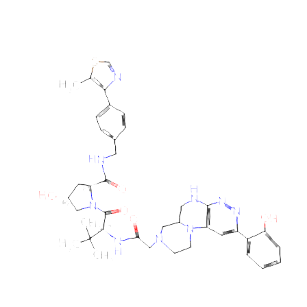 Cc1scnc1-c1ccc(CNC(=O)[C@@H]2C[C@@H](O)CN2C(=O)[C@@H](NC(=O)CN2CCN3c4cc(-c5ccccc5O)nnc4NCC3C2)C(C)(C)C)cc1